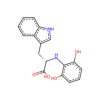 O=C(O)[C@H](Cc1c[nH]c2ccccc12)Nc1c(O)cccc1O